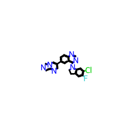 Fc1cc2c(cc1Cl)N(c1ncnc3ccc(-c4cnc5cncn5c4)cc13)CC2